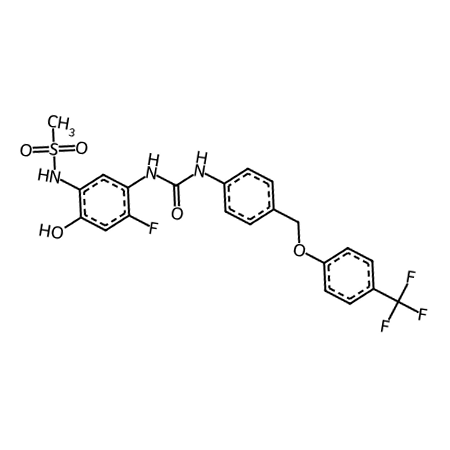 CS(=O)(=O)Nc1cc(NC(=O)Nc2ccc(COc3ccc(C(F)(F)F)cc3)cc2)c(F)cc1O